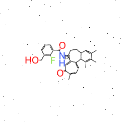 Cc1cc2c(c(C)c1C)-c1ccc(C)c(=O)cc1[C@@H](NC(=O)c1cccc(CO)c1F)CC2